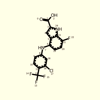 O=C(O)c1cc2c(Nc3ccc(C(F)(F)F)c(Cl)c3)ccc(F)c2[nH]1